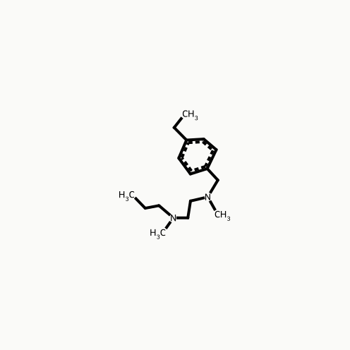 CCCN(C)CCN(C)Cc1ccc(CC)cc1